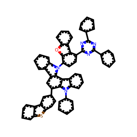 c1ccc(-c2nc(-c3ccccc3)nc(-c3ccc(-n4c5ccccc5c5cc(-c6ccc7sc8ccccc8c7c6)c6c(c7ccccc7n6-c6ccccc6)c54)c4oc5ccccc5c34)n2)cc1